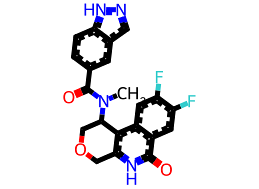 CN(C(=O)c1ccc2[nH]ncc2c1)C1COCc2[nH]c(=O)c3cc(F)c(F)cc3c21